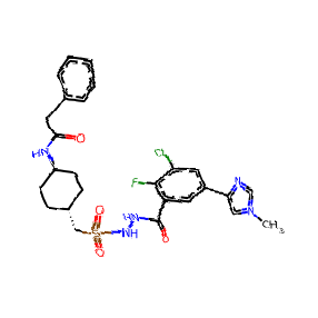 Cn1cnc(-c2cc(Cl)c(F)c(C(=O)NNS(=O)(=O)C[C@H]3CC[C@H](NC(=O)Cc4ccccc4)CC3)c2)c1